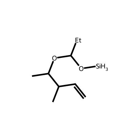 C=CC(C)C(C)OC(CC)O[SiH3]